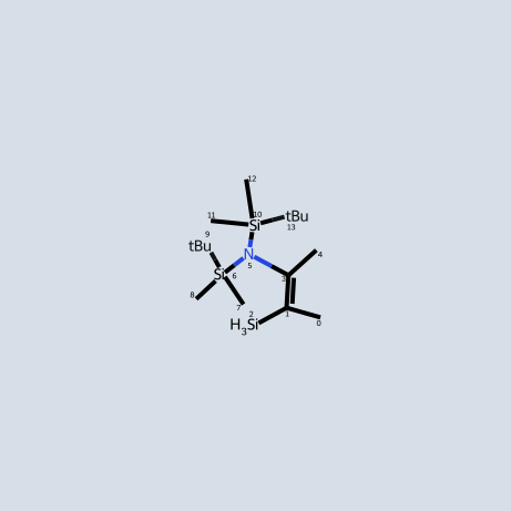 CC([SiH3])=C(C)N([Si](C)(C)C(C)(C)C)[Si](C)(C)C(C)(C)C